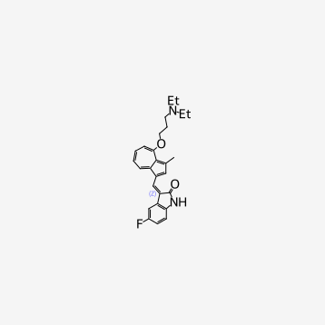 CCN(CC)CCCOc1ccccc2c(/C=C3\C(=O)Nc4ccc(F)cc43)cc(C)c1-2